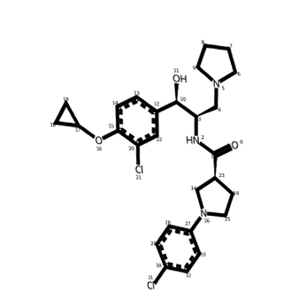 O=C(N[C@H](CN1CCCC1)[C@H](O)c1ccc(OC2CC2)c(Cl)c1)[C@H]1CCN(c2ccc(Cl)cc2)C1